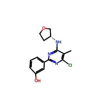 Cc1c(Cl)nc(-c2cccc(O)c2)nc1N[C@@H]1CCOC1